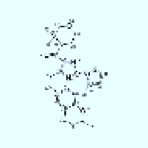 CC1COc2cc3c(cc2O1)-n1c(-c2cccn2C)nc(C(=O)N2CCOCC2(C)C)c1CC3